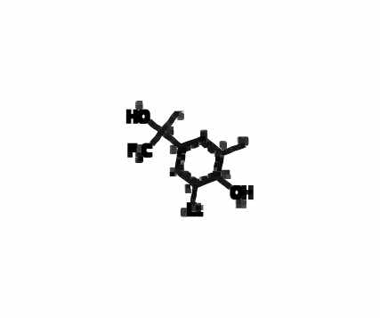 CCc1cc(C(C)(O)C(F)(F)F)cc(C)c1O